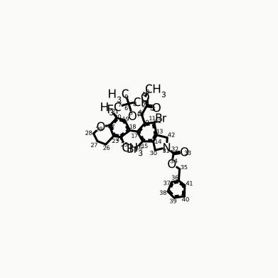 COC(=O)[C@@H](OC(C)(C)C)c1c(Br)c2c(c(Br)c1-c1cc(F)c3c(c1C)CCCO3)CN(C(=O)OCc1ccccc1)C2